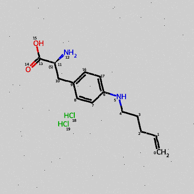 C=CCCCNc1ccc(C[C@H](N)C(=O)O)cc1.Cl.Cl